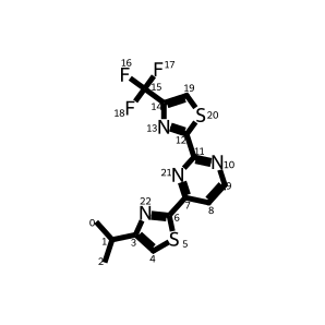 CC(C)c1csc(-c2c[c]nc(-c3nc(C(F)(F)F)cs3)n2)n1